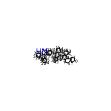 c1ccc2c(c1)ccc1cc(-c3c4ccccc4c(-c4ccc5[nH]c6c7ccccc7c7ccccc7c6c5c4)c4ccccc34)c3ccccc3c12